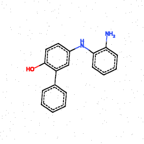 Nc1ccccc1Nc1ccc(O)c(-c2ccccc2)c1